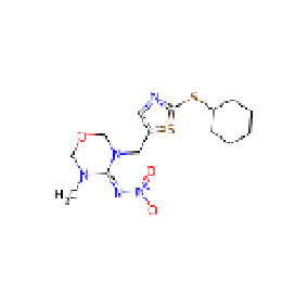 CN1COCN(Cc2cnc(SC3CCCCC3)s2)/C1=N\[N+](=O)[O-]